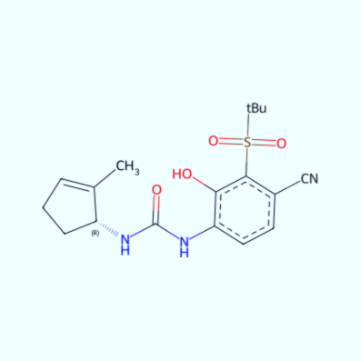 CC1=CCC[C@H]1NC(=O)Nc1ccc(C#N)c(S(=O)(=O)C(C)(C)C)c1O